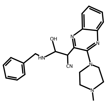 CN1CCN(c2nc3ccccc3nc2C(C#N)C(O)NCc2ccccc2)CC1